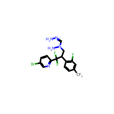 N/N=C\N(N)CC(c1ccc(C(F)(F)F)cc1F)C(F)(F)c1ccc(Br)cn1